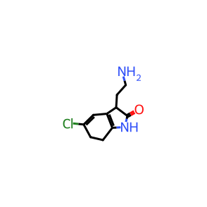 NCCC1C(=O)NC2=C1C=C(Cl)CC2